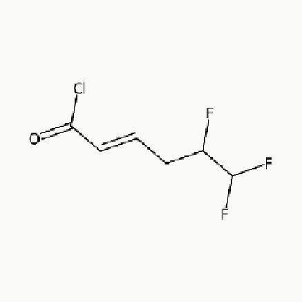 O=C(Cl)C=CCC(F)C(F)F